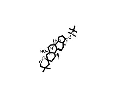 CC1(C)COOC2(CC[C@]3(CI)C4=CC[C@]5(C)[C@@H](O[Si](C)(C)C(C)(C)C)CC[C@H]5[C@@H]4CC[C@@]3(O)C2)C1